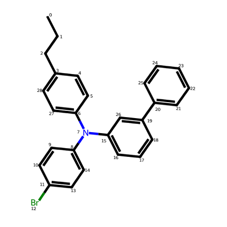 CCCc1ccc(N(c2ccc(Br)cc2)c2cccc(-c3ccccc3)c2)cc1